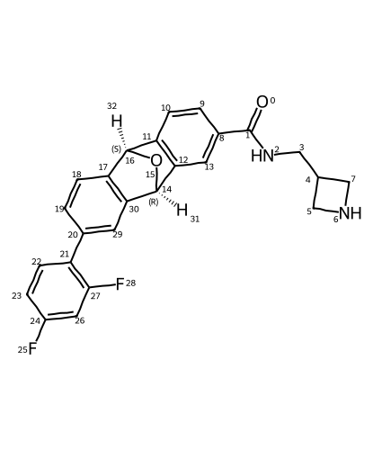 O=C(NCC1CNC1)c1ccc2c(c1)[C@@H]1O[C@H]2c2ccc(-c3ccc(F)cc3F)cc21